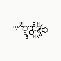 COC(=O)c1ccccc1S(=O)(=O)N[C@H](Cc1ccc([N+](=O)[O-])cc1)C(=O)NCC1CCCN(C(=N)N)C1